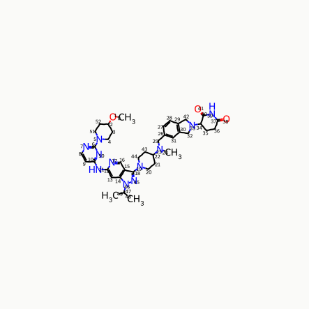 COC1CCN(c2nccc(Nc3cc4c(cn3)c(N3CCC(N(C)Cc5ccc6c(c5)CN(C5CCC(=O)NC5=O)C6)CC3)nn4C(C)C)n2)CC1